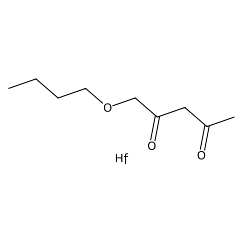 CCCCOCC(=O)CC(C)=O.[Hf]